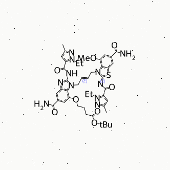 CCn1nc(C)cc1C(=O)/N=c1\sc2cc(C(N)=O)cc(OC)c2n1C/C=C/Cn1c(NC(=O)c2cc(C)nn2CC)nc2cc(C(N)=O)cc(OCCCC(=O)OC(C)(C)C)c21